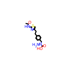 CC(=O)Nc1nc(CCc2ccc(CN(N)C(=O)O)cc2)cs1